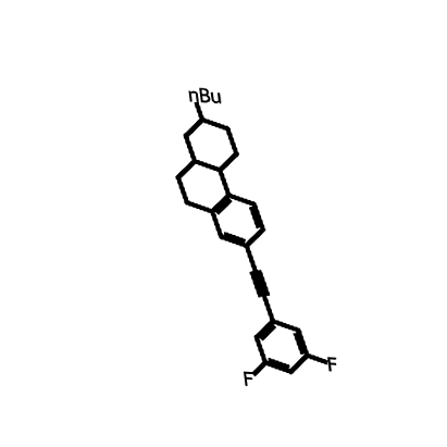 CCCCC1CCC2c3ccc(C#Cc4cc(F)cc(F)c4)cc3CCC2C1